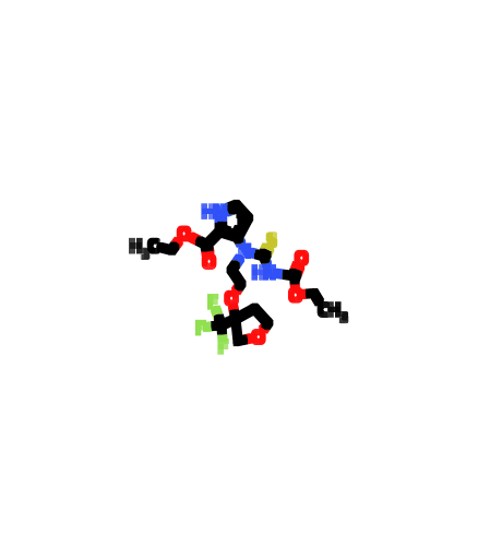 CCOC(=O)NC(=S)N(CCOC1(C(F)(F)F)CCOC1)c1cc[nH]c1C(=O)OCC